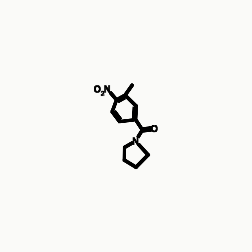 Cc1cc(C(=O)N2CCCC2)ccc1[N+](=O)[O-]